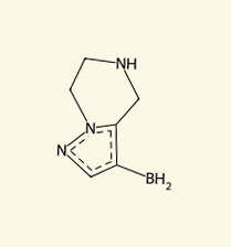 Bc1cnn2c1CNCC2